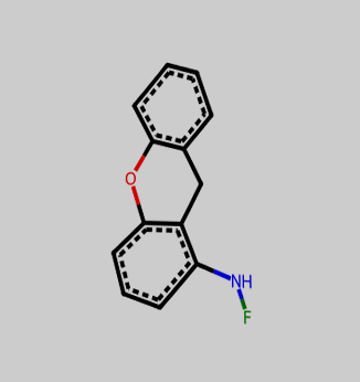 FNc1cccc2c1Cc1ccccc1O2